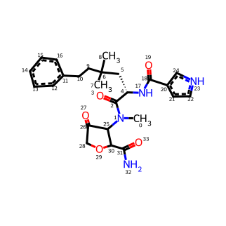 CN(C(=O)[C@H](CC(C)(C)CCc1ccccc1)NC(=O)c1cc[nH]c1)C1C(=O)COC1C(N)=O